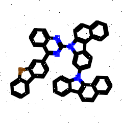 c1ccc2c(c1)ccc1c2c2ccc(-n3c4ccccc4c4ccc5ccccc5c43)cc2n1-c1nc(-c2ccc3c(c2)sc2ccccc23)c2ccccc2n1